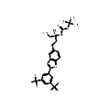 CC(C)(C)OC(=O)N[C@@](C)(CO)CCc1ccc2oc(-c3cc(C(F)(F)F)cc(C(F)(F)F)c3)nc2c1